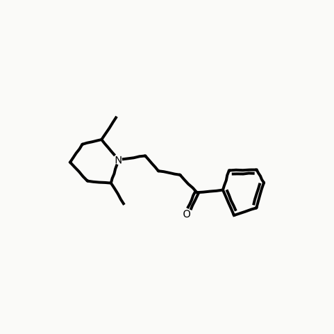 CC1CCCC(C)N1CCCC(=O)c1ccccc1